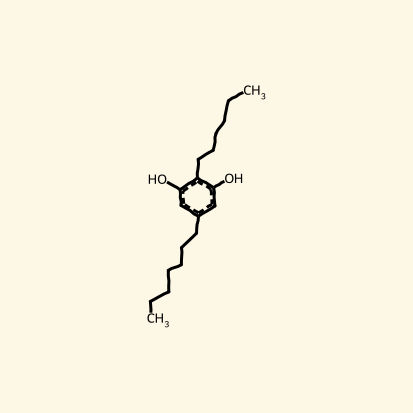 CCCCCCCc1cc(O)c(CCCCCC)c(O)c1